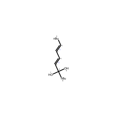 CCCC/C=C/C=C/C(O)(O)CCCC